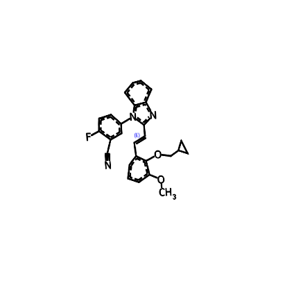 COc1cccc(/C=C/c2nc3ccccc3n2-c2ccc(F)c(C#N)c2)c1OCC1CC1